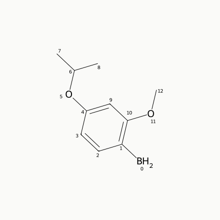 Bc1ccc(OC(C)C)cc1OC